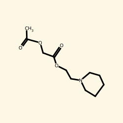 CC(=O)OCC(=O)OCCN1CCCCC1